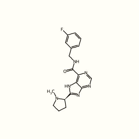 CN1CCC[C@@H]1c1nc2ncnc(C(=O)NCc3cccc(F)c3)c2[nH]1